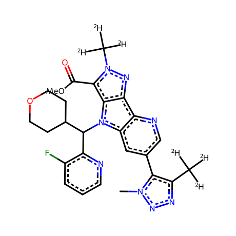 [2H]C([2H])([2H])c1nnn(C)c1-c1cnc2c3nn(C([2H])([2H])[2H])c(C(=O)OC)c3n(C(c3ncccc3F)C3CCOCC3)c2c1